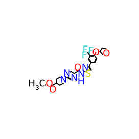 CCOC(=O)C1CCN(c2cnc(C(=O)Nc3nc(-c4ccc(O[C@H]5CCOC5)c(C(F)(F)F)c4)cs3)cn2)CC1